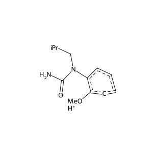 [CH2]C(C)CN(C(N)=O)c1ccccc1OC.[H+]